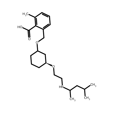 Cc1cccc(COC2CCC[C@H](OCCNC(C)CC(C)C)C2)c1C(=O)O